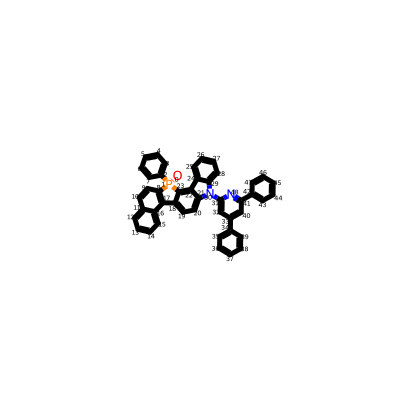 O=P1(c2ccccc2)c2ccc3ccccc3c2-c2ccc3c(c21)c1ccccc1n3-c1cc(-c2ccccc2)cc(-c2ccccc2)n1